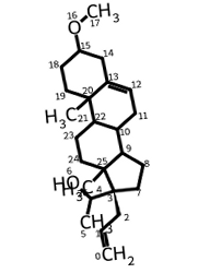 C=CC[C@]1(C(C)O)CCC2C3CC=C4CC(OC)CCC4(C)C3CCC21C